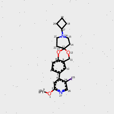 CC(C)Oc1cc(-c2ccc3c(c2)COC2(CCN(C4CCC4)CC2)O3)c(I)cn1